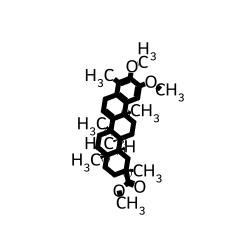 COC(=O)[C@]1(C)CC[C@]2(C)CC[C@]3(C)C4=CCc5c(cc(OC)c(OC)c5C)[C@]4(C)CC[C@@]3(C)[C@@H]2C1